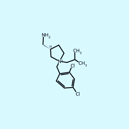 CC(C)C[N+]1(Cc2ccc(Cl)cc2Cl)CC[C@@H](CN)C1